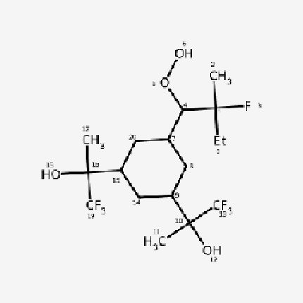 CCC(C)(F)C(OO)C1CC(C(C)(O)C(F)(F)F)CC(C(C)(O)C(F)(F)F)C1